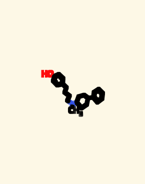 CN(CCCCc1ccc(O)cc1)C1CCC(c2ccccc2)CC1